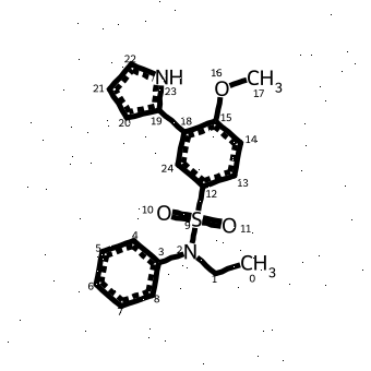 CCN(c1ccccc1)S(=O)(=O)c1ccc(OC)c(-c2ccc[nH]2)c1